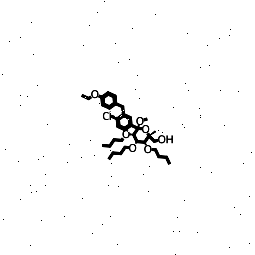 CCCCO[C@@H]1[C@@H](OCCCC)[C@](OC)(c2ccc(Cl)c(Cc3ccc(OCC)cc3)c2)O[C@](C)(CO)[C@H]1OCCCC